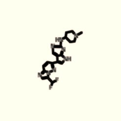 CN1CCC(Nc2ncc3c(-c4ccc5ncc(C(F)F)n5n4)c[nH]c3n2)CC1